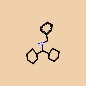 c1ccc(CNC(C2CCCCC2)C2CCCCC2)cc1